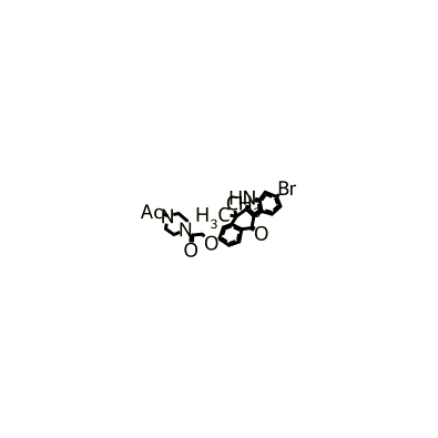 CC(=O)N1CCN(C(=O)COc2ccc3c(c2)C(C)(C)c2[nH]c4cc(Br)ccc4c2C3=O)CC1